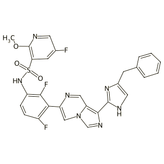 COc1ncc(F)cc1S(=O)(=O)Nc1ccc(F)c(-c2cn3cnc(-c4nc(Cc5ccccc5)c[nH]4)c3cn2)c1F